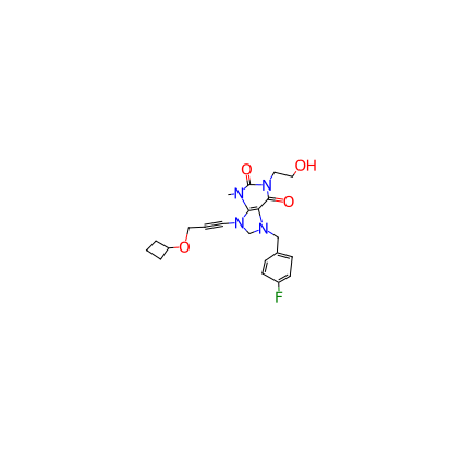 Cn1c2c(c(=O)n(CCO)c1=O)N(Cc1ccc(F)cc1)CN2C#CCOC1CCC1